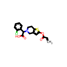 C=CC(=O)Oc1cc2c(s1)CCN(C(C(=O)O)c1ccccc1Cl)C2